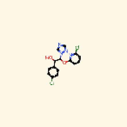 OC(c1ccc(Cl)cc1)C(Oc1cccc(Cl)n1)n1cncn1